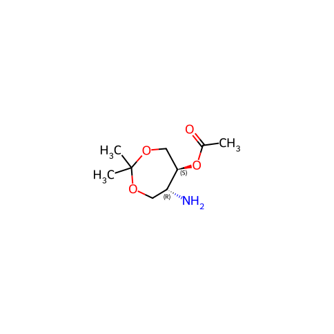 CC(=O)O[C@@H]1COC(C)(C)OC[C@H]1N